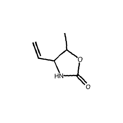 C=CC1NC(=O)OC1C